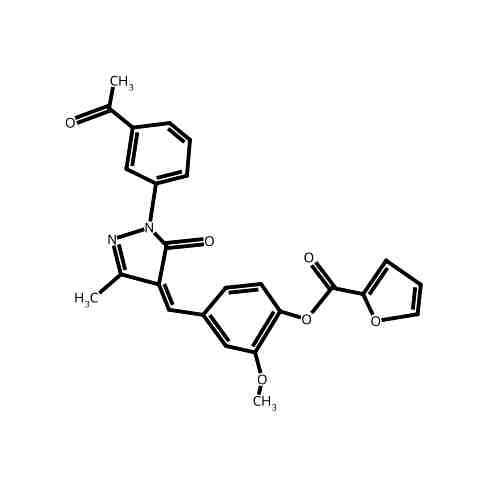 COc1cc(/C=C2\C(=O)N(c3cccc(C(C)=O)c3)N=C2C)ccc1OC(=O)c1ccco1